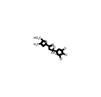 Cc1cc(C2=NO[C@](C)(c3cc(Cl)c(Cl)c(Cl)c3)C2)sc1C(=O)O